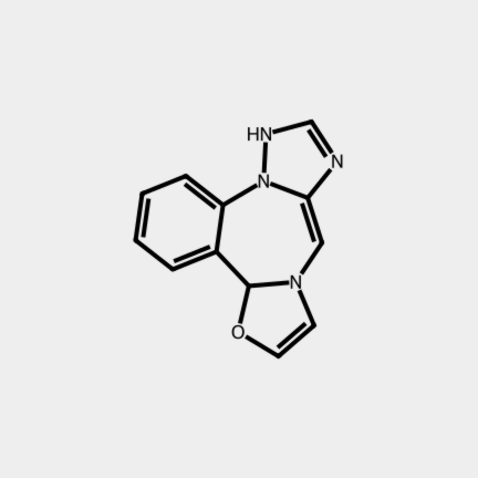 C1=CN2C=C3N=CNN3c3ccccc3C2O1